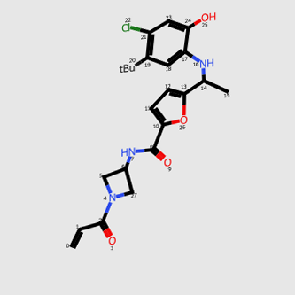 C=CC(=O)N1CC(NC(=O)c2ccc(C(C)Nc3cc(C(C)(C)C)c(Cl)cc3O)o2)C1